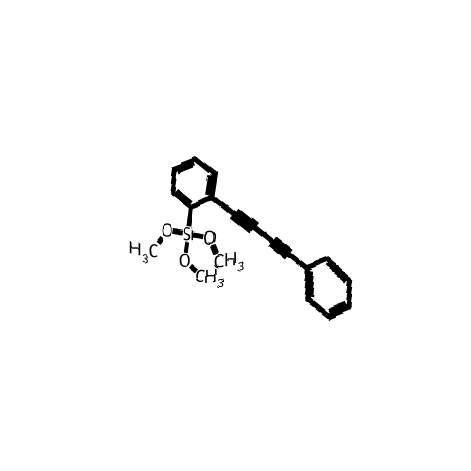 CO[Si](OC)(OC)c1ccccc1C#CC#Cc1ccccc1